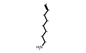 C=CCCCCCCN